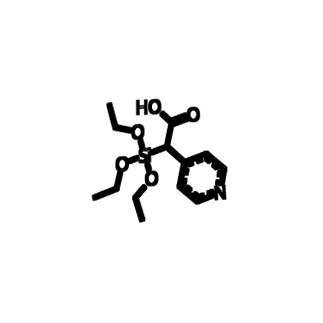 CCO[Si](OCC)(OCC)C(C(=O)O)c1ccncc1